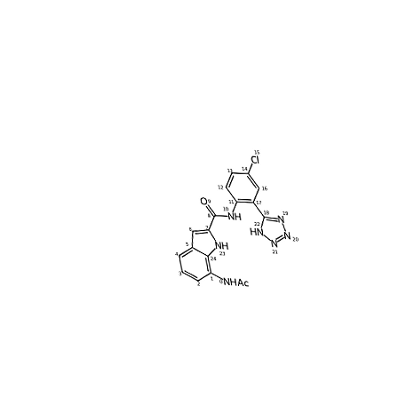 CC(=O)Nc1cccc2cc(C(=O)Nc3ccc(Cl)cc3-c3nnn[nH]3)[nH]c12